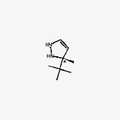 CC(C)(C)[C@@]1(C)C=CNN1